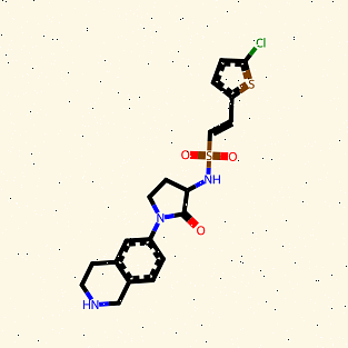 O=C1C(NS(=O)(=O)/C=C/c2ccc(Cl)s2)CCN1c1ccc2c(c1)CCNC2